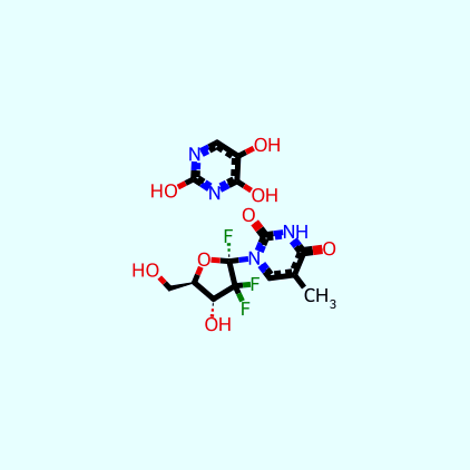 Cc1cn([C@]2(F)O[C@H](CO)[C@@H](O)C2(F)F)c(=O)[nH]c1=O.Oc1ncc(O)c(O)n1